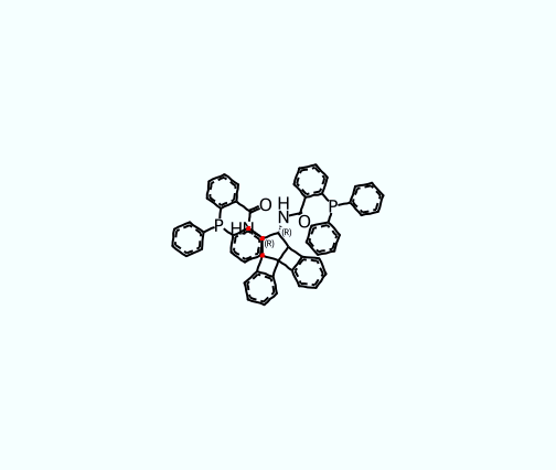 O=C(N[C@@H]1C2c3ccccc3C23c2ccccc2C3[C@H]1NC(=O)c1ccccc1P(c1ccccc1)c1ccccc1)c1ccccc1P(c1ccccc1)c1ccccc1